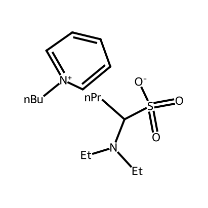 CCCC(N(CC)CC)S(=O)(=O)[O-].CCCC[n+]1ccccc1